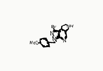 COc1ccc(Cn2nc(Br)c3c4c(cnc32)CNCC4)cc1